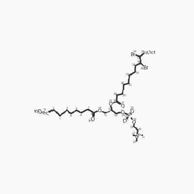 CCCCCCCCCCCCCCCCCC(=O)OC[C@H](COP(=O)([O-])OCC[N+](C)(C)C)OC(=O)CCCCCCCC(Br)C(Br)CCCCCCCC